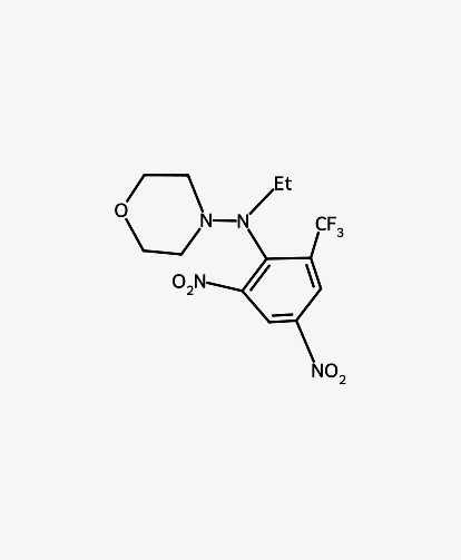 CCN(c1c([N+](=O)[O-])cc([N+](=O)[O-])cc1C(F)(F)F)N1CCOCC1